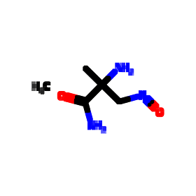 C.CC(N)(CN=O)C(N)=O